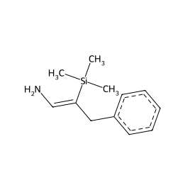 C[Si](C)(C)C(=CN)Cc1ccccc1